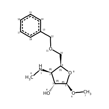 CN[C@@H]1[C@@H](O)[C@H](OC)O[C@@H]1COCc1ccccc1